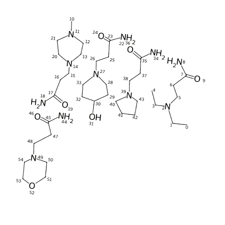 CCN(CC)CCC(N)=O.CN1CCN(CCC(N)=O)CC1.NC(=O)CCN1CCC(O)CC1.NC(=O)CCN1CCCC1.NC(=O)CCN1CCOCC1